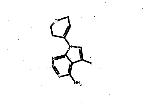 Nc1ncnc2c1c(I)cn2C1=CCOCC1